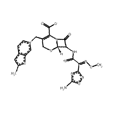 CON=C(C(=O)NC1C(=O)N2C(C(=O)[O-])=C(C[n+]3ccc4cc(C)oc4c3)CS[C@@H]12)c1noc(N)n1